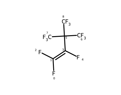 FC(F)=C(F)C(C(F)(F)F)(C(F)(F)F)C(F)(F)F